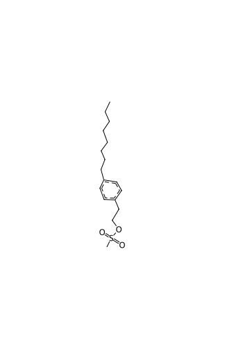 CCCCCCCCc1ccc(CCOS(C)(=O)=O)cc1